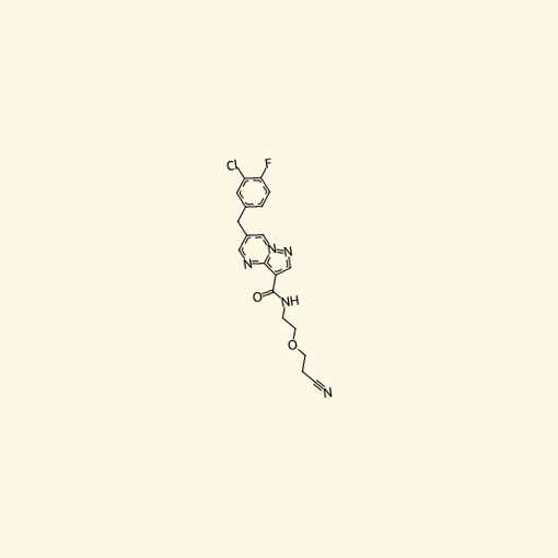 N#CCCOCCNC(=O)c1cnn2cc(Cc3ccc(F)c(Cl)c3)cnc12